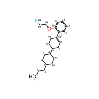 CCCC1CCC(C2CC=C(c3ccccc3OCCF)CC2)CC1